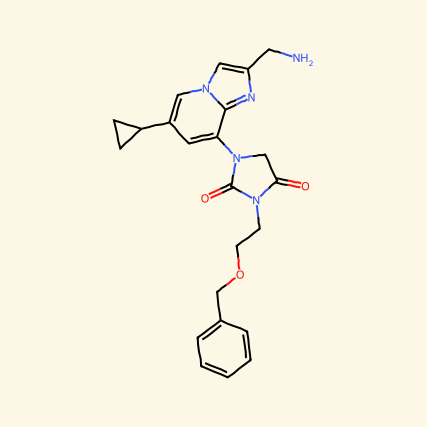 NCc1cn2cc(C3CC3)cc(N3CC(=O)N(CCOCc4ccccc4)C3=O)c2n1